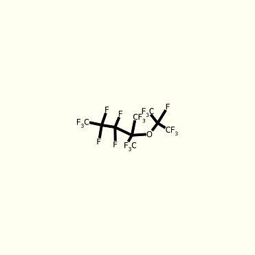 FC(F)(F)C(F)(F)C(F)(F)C(OC(F)(C(F)(F)F)C(F)(F)F)(C(F)(F)F)C(F)(F)F